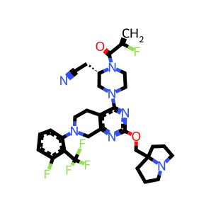 C=C(F)C(=O)N1CCN(c2nc(OCC34CCCN3CCC4)nc3c2CCN(c2cccc(F)c2C(F)(F)F)C3)C[C@@H]1CC#N